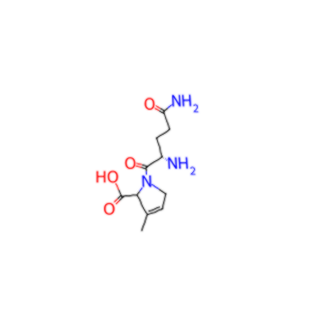 CC1=CCN(C(=O)[C@@H](N)CCC(N)=O)C1C(=O)O